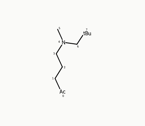 CC(=O)CCCN(C)CC(C)(C)C